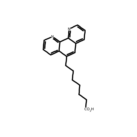 O=C(O)CCCCCCc1cc2cccnc2c2ncccc12